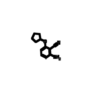 N#Cc1c(N)[c]ccc1OC1CCCC1